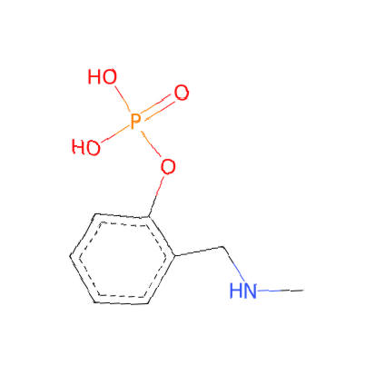 CNCc1ccccc1OP(=O)(O)O